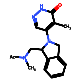 CC(=O)N(C)CC1c2ccccc2CN1c1cn[nH]c(=O)c1C